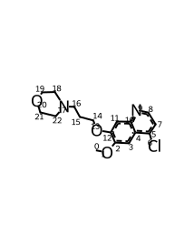 COc1cc2c(Cl)ccnc2cc1OCCCN1CCOCC1